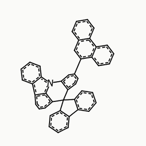 c1ccc2c(c1)-c1ccccc1C21c2ccc(-c3cc4ccccc4c4ccccc34)cc2-n2c3ccccc3c3cccc1c32